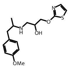 COc1ccc(CC(C)NCC(O)COc2nccs2)cc1